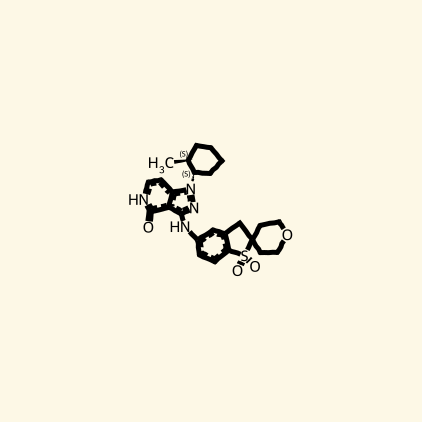 C[C@H]1CCCC[C@@H]1n1nc(Nc2ccc3c(c2)CC2(CCOCC2)S3(=O)=O)c2c(=O)[nH]ccc21